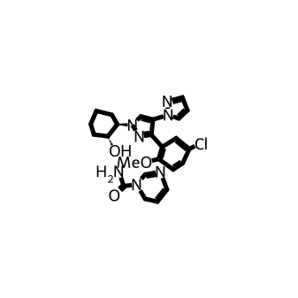 COc1ccc(Cl)cc1-c1nn([C@@H]2CCCC[C@H]2O)cc1-n1cccn1.NC(=O)N1C=NC=CC1